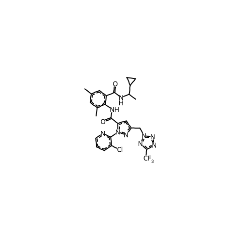 Cc1cc(C)c(NC(=O)c2cc(Cn3nnc(C(F)(F)F)n3)nn2-c2ncccc2Cl)c(C(=O)NC(C)C2CC2)c1